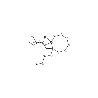 CCCCC1(Br)CCCCCCC1(CCCC)CCCC